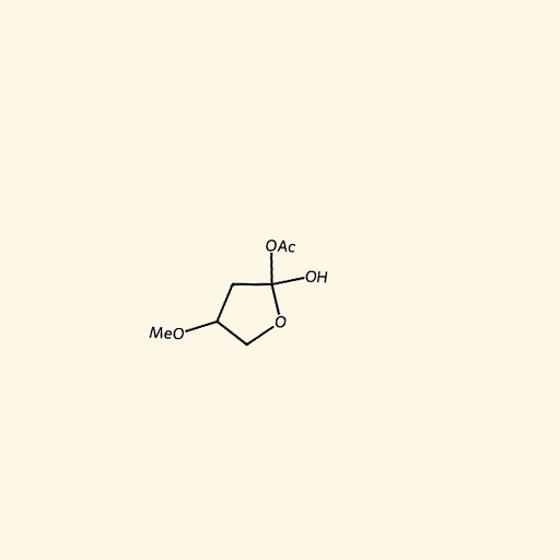 COC1COC(O)(OC(C)=O)C1